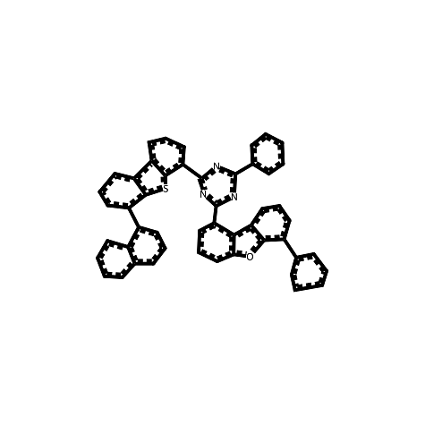 c1ccc(-c2nc(-c3cccc4c3sc3c(-c5cccc6ccccc56)cccc34)nc(-c3cccc4oc5c(-c6ccccc6)cccc5c34)n2)cc1